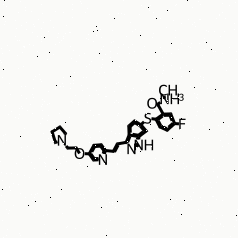 CNC(=O)c1cc(F)ccc1Sc1ccc2c(/C=C/c3ccc(OCCN4CCCC4)cn3)n[nH]c2c1